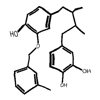 Cc1cccc(COc2cc(CC(C)C(C)Cc3ccc(O)c(O)c3)ccc2O)c1